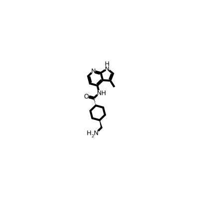 Cc1c[nH]c2nccc(NC(=O)[C@H]3CC[C@H](CN)CC3)c12